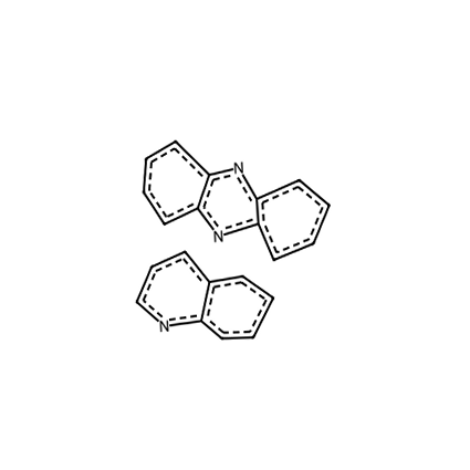 c1ccc2nc3ccccc3nc2c1.c1ccc2ncccc2c1